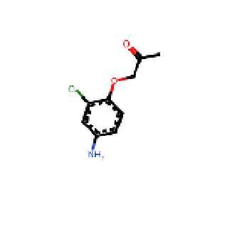 CC(=O)COc1ccc(N)cc1Cl